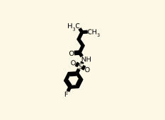 CC(C)CCC(=O)NS(=O)(=O)c1ccc(F)cc1